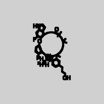 [2H]C([2H])([2H])n1nc2nc1-c1cc(ccc1F)Oc1c(F)cc3[nH]ccc3c1CCC(=O)N(C)CC(C)(C)CCCC2(C)c1cccc(CCCO)c1